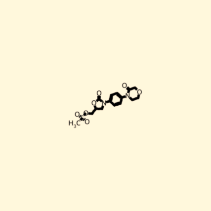 CS(=O)(=O)OCC1CN(c2ccc(N3CCOCC3=O)cc2)C(=O)O1